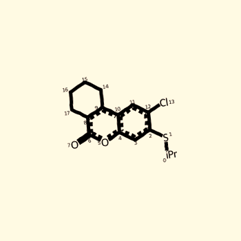 CC(C)Sc1cc2oc(=O)c3c(c2cc1Cl)CCCC3